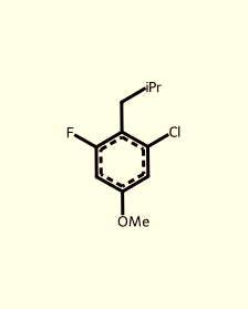 COc1cc(F)c(CC(C)C)c(Cl)c1